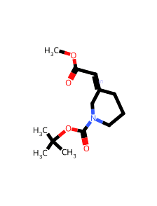 COC(=O)/C=C1/CCCN(C(=O)OC(C)(C)C)C1